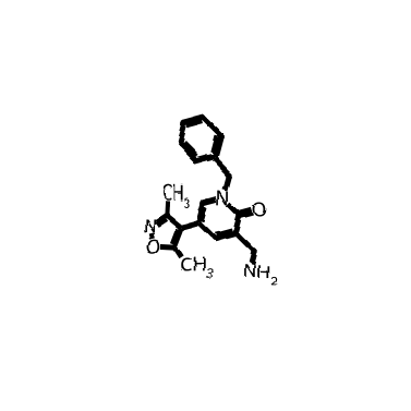 Cc1noc(C)c1-c1cc(CN)c(=O)n(Cc2ccccc2)c1